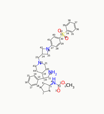 COC(=O)N[C@H]1CCC[C@@H]1C(CN)(c1ccccc1)C1CCN(CC2CN(c3ccc(S(=O)(=O)c4ccccc4)cc3)C2)CC1